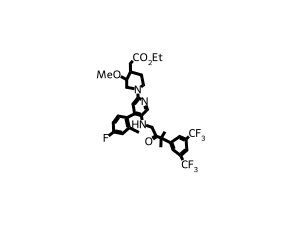 CCOC(=O)CC1CCN(c2cc(-c3ccc(F)cc3C)c(NCC(=O)C(C)(C)c3cc(C(F)(F)F)cc(C(F)(F)F)c3)cn2)CC1OC